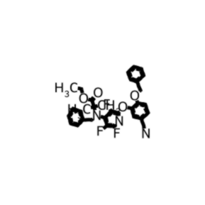 CCOC(=O)C(C)(C)N(Cc1ccccc1)c1c(F)c(F)nc(Oc2cc(C#N)ccc2OCc2ccccc2)c1F